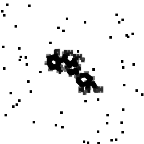 N=C(c1ncc(N2CCC(N)(CO)CC2)nc1N)c1c(F)cccc1Cl